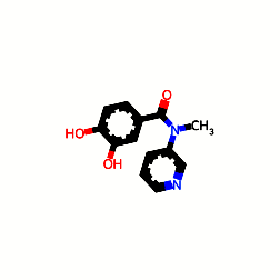 CN(C(=O)c1ccc(O)c(O)c1)c1cccnc1